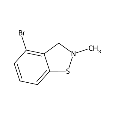 CN1Cc2c(Br)cccc2S1